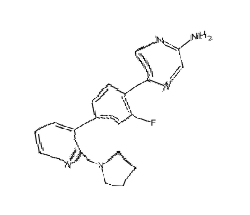 Nc1cnc(-c2ccc(-c3cccnc3N3CCCC3)cc2F)cn1